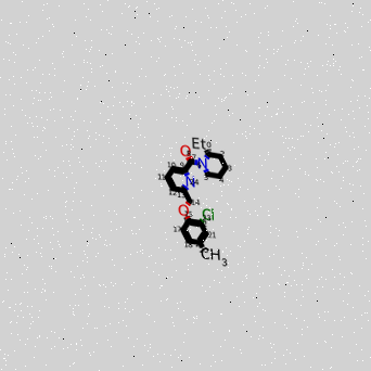 CCC1CCCCN1C(=O)c1cccc(COc2ccc(C)cc2Cl)n1